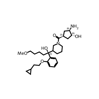 COCCCC[C@@](O)(c1ccccc1OCCC1CC1)C1CCCN(C(=O)[C@H]2C[C@@H](N)[C@H](O)C2)C1